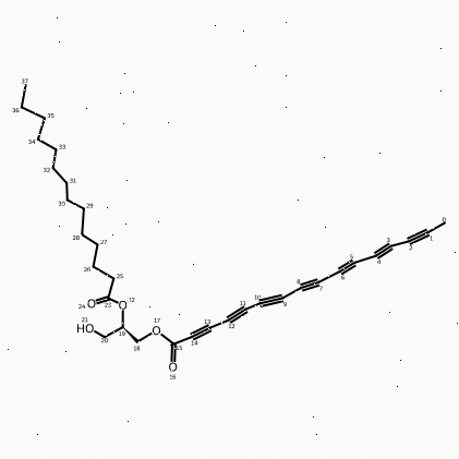 CC#CC#CC#CC#CC#CC#CC#CC(=O)OC[C@@H](CO)OC(=O)CCCCCCCCCCCCC